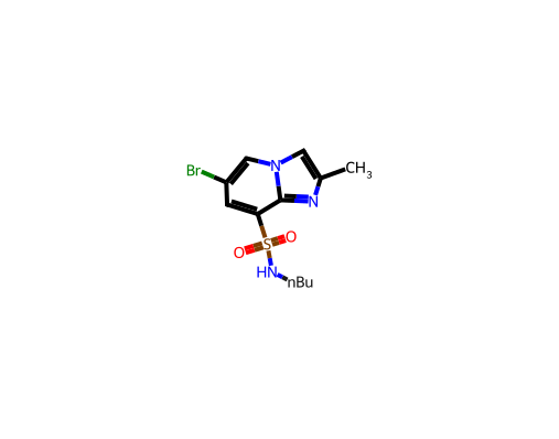 CCCCNS(=O)(=O)c1cc(Br)cn2cc(C)nc12